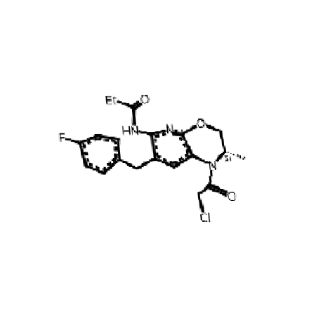 CCC(=O)Nc1nc2c(cc1Cc1ccc(F)cc1)N(C(=O)CCl)[C@@H](C)CO2